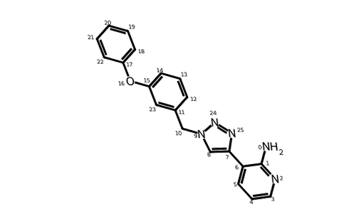 Nc1ncccc1-c1cn(Cc2cccc(Oc3ccccc3)c2)nn1